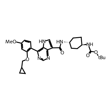 COc1ccc(-c2ncnc3c(C(=O)N[C@H]4CC[C@H](NC(=O)OC(C)(C)C)CC4)c[nH]c23)c(OCC2CC2)c1